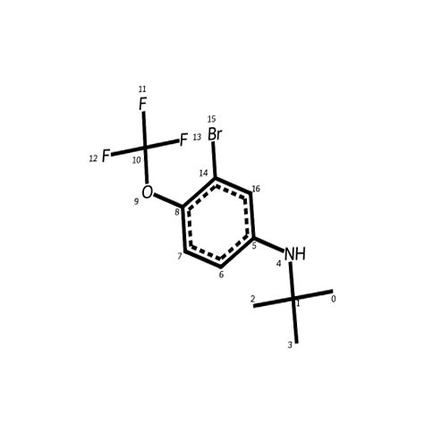 CC(C)(C)Nc1ccc(OC(F)(F)F)c(Br)c1